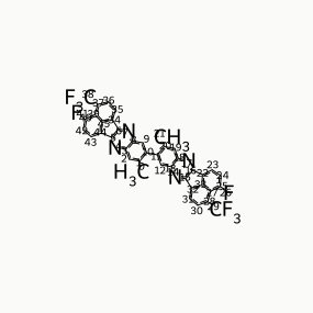 Cc1cc2nc3c(nc2cc1-c1cc2nc4c(nc2cc1C)-c1ccc(F)c2c(C(F)(F)F)ccc-4c12)-c1ccc(C(F)(F)F)c2c(F)ccc-3c12